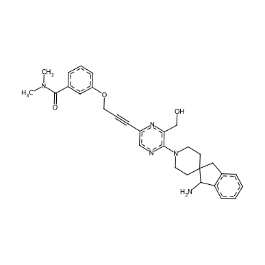 CN(C)C(=O)c1cccc(OCC#Cc2cnc(N3CCC4(CC3)Cc3ccccc3C4N)c(CO)n2)c1